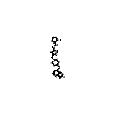 c1cc(OC2CCN(Cc3cc(OCC4CCCN4)no3)CC2)c2sccc2n1